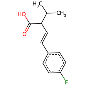 CC(C)C(/C=C/c1ccc(F)cc1)C(=O)O